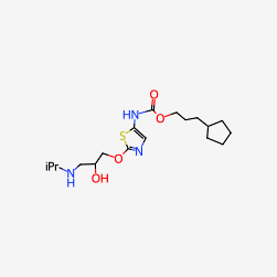 CC(C)NCC(O)COc1ncc(NC(=O)OCCCC2CCCC2)s1